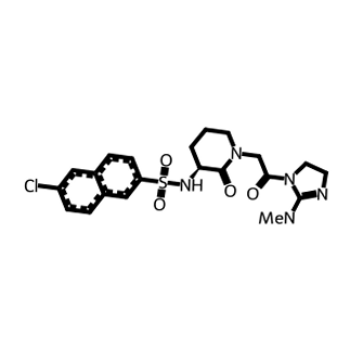 CNC1=NCCN1C(=O)CN1CCC[C@H](NS(=O)(=O)c2ccc3cc(Cl)ccc3c2)C1=O